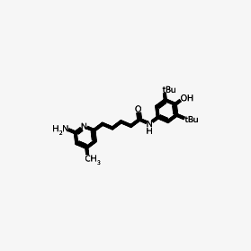 Cc1cc(N)nc(CCCCC(=O)Nc2cc(C(C)(C)C)c(O)c(C(C)(C)C)c2)c1